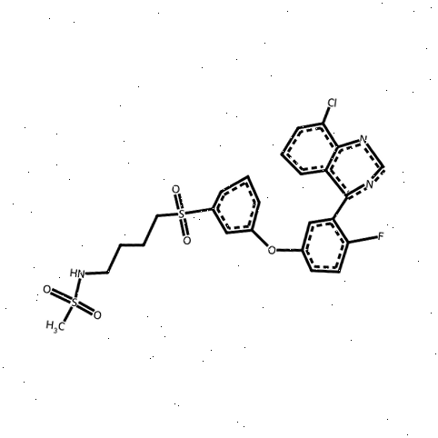 CS(=O)(=O)NCCCCS(=O)(=O)c1cccc(Oc2ccc(F)c(-c3ncnc4c(Cl)cccc34)c2)c1